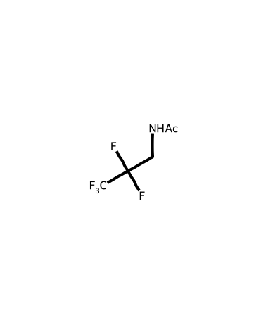 CC(=O)NCC(F)(F)C(F)(F)F